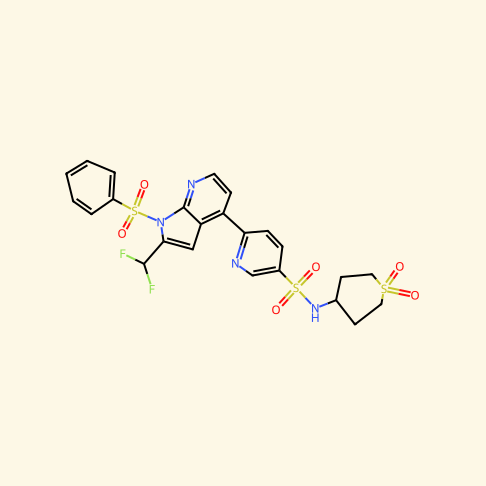 O=S1(=O)CCC(NS(=O)(=O)c2ccc(-c3ccnc4c3cc(C(F)F)n4S(=O)(=O)c3ccccc3)nc2)CC1